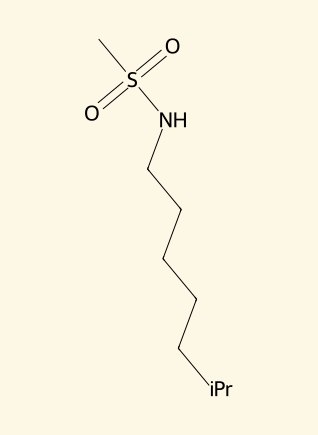 CC(C)CCCCCNS(C)(=O)=O